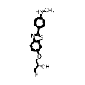 CNc1ccc(-c2nc3ccc(OC[C@H](O)CF)cc3s2)cc1